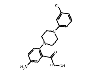 Nc1ccc(N2CCN(c3cccc(Cl)c3)CC2)c(C(=O)NO)c1